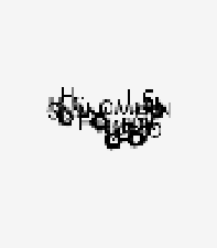 COc1cc(-c2cccc(-c3cccc(NC(=O)c4cncn(C)c4=O)c3C)c2C)cc(F)c1CN(C)C[C@H]1CCC(=O)N1